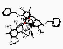 COc1cc2c(cc1OCc1ccccc1)CCN[C@]21CS[C@@H]2c3c(O)c(C)c4c(c3[C@H](COC1=O)N1C2[C@@H]2c3c(cc(C)c(OC)c3OCc3ccccc3)C[C@@H]([C@@H]1C#N)N2C)OCO4